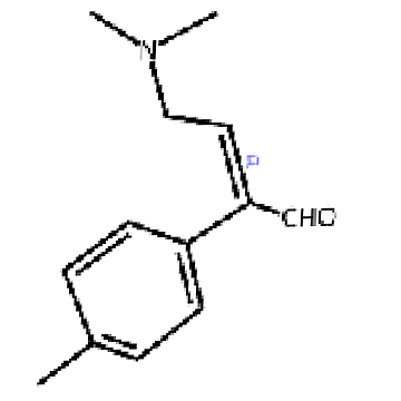 Cc1ccc(/C(C=O)=C\CN(C)C)cc1